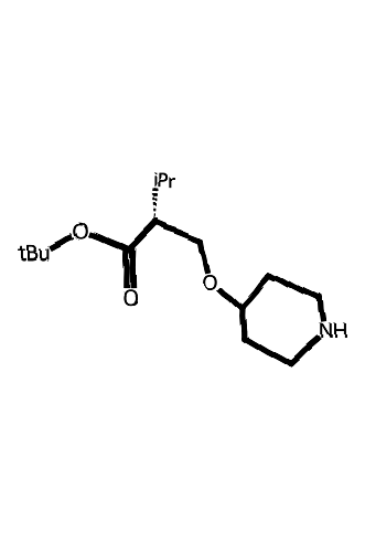 CC(C)[C@H](COC1CCNCC1)C(=O)OC(C)(C)C